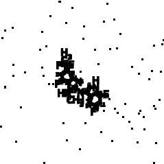 CNn1c(Nc2c[nH]c3c(F)cc(F)cc23)nc2cc(C(C)(F)F)cc(F)c21